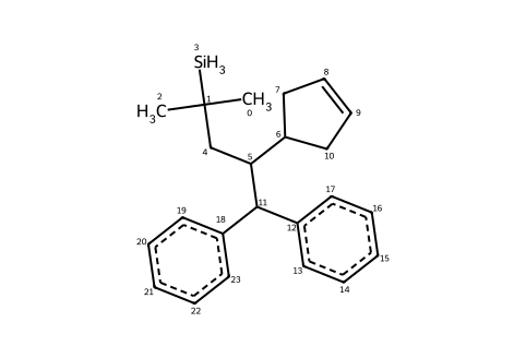 CC(C)([SiH3])CC(C1CC=CC1)C(c1ccccc1)c1ccccc1